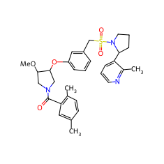 COC1CN(C(=O)c2cc(C)ccc2C)CC1Oc1cccc(CS(=O)(=O)N2CCCC2c2cccnc2C)c1